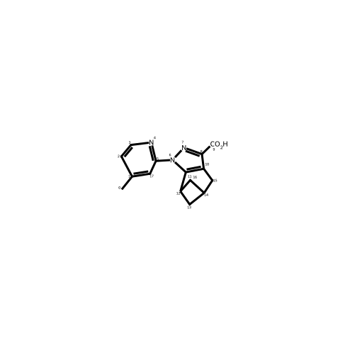 Cc1ccnc(-n2nc(C(=O)O)c3c2C2CC(C3)C2)c1